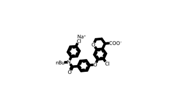 CCCCN(C(=O)c1ccc(Oc2cc3c(cc2Cl)C(C(=O)[O-])CCO3)cc1)c1ccc(Cl)cc1.[Na+]